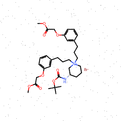 COC(=O)COc1cccc(CCC[N+]2(CCCc3cccc(OCC(=O)OC)c3)CCC[C@H](NC(=O)OC(C)(C)C)C2)c1.[Br-]